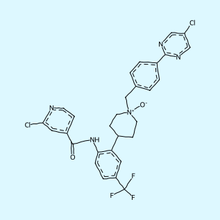 O=C(Nc1ccc(C(F)(F)F)cc1C1CC[N+]([O-])(Cc2ccc(-c3ncc(Cl)cn3)cc2)CC1)c1ccnc(Cl)c1